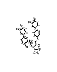 Cc1noc([C@@H](Cc2ccc(-c3ccc(F)c(F)c3)cc2)NC(=O)c2cc(-c3ccc(F)c(F)c3)ccc2O)n1